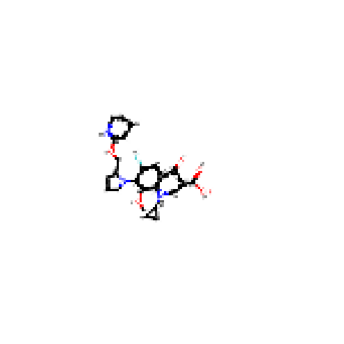 COc1c(N2CCCC2COc2ccccn2)c(F)cc2c(=O)c(C(=O)O)cn(C3CC3)c12